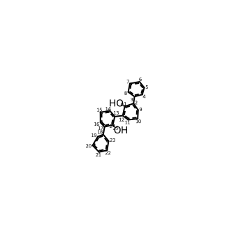 Oc1c(-c2ccccc2)cccc1-c1cccc(-c2ccccc2)c1O